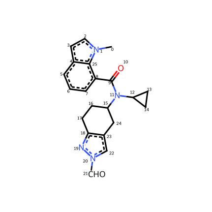 Cn1ccc2cccc(C(=O)N(C3CC3)C3CCc4nn(C=O)cc4C3)c21